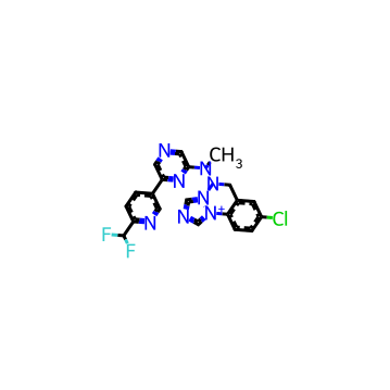 CN(c1cncc(-c2ccc(C(F)F)nc2)n1)N1Cc2cc(Cl)ccc2-[n+]2cncn21